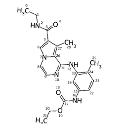 CCNC(=O)c1cn2ccnc(Nc3cc(NC(=O)OCC)ccc3C)c2c1C